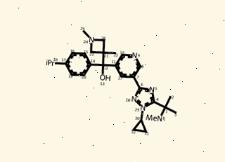 CNC(C)(C)c1nc(-c2cncc(C(O)(c3ccc(C(C)C)cc3)C3(C)CN(C)C3)c2)nn1C1CC1